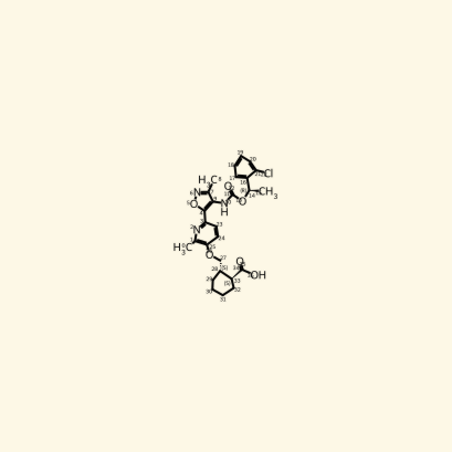 Cc1nc(-c2onc(C)c2NC(=O)O[C@H](C)c2ccccc2Cl)ccc1OC[C@H]1CCCC[C@@H]1C(=O)O